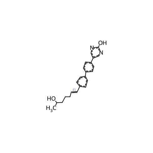 CC(O)CCC/C=C/c1ccc(-c2ccc(-c3cnc(O)nc3)cc2)cc1